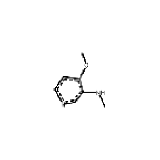 CNc1cnccc1OC